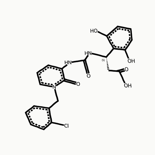 O=C(O)C[C@H](NC(=O)Nc1cccn(Cc2ccccc2Cl)c1=O)c1c(O)cccc1O